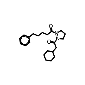 O=C(CCCCc1ccccc1)N1CCCN1C(=O)CC1CCCCC1